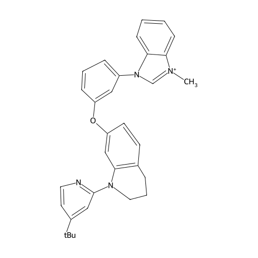 C[n+]1cn(-c2cccc(Oc3ccc4c(c3)N(c3cc(C(C)(C)C)ccn3)CCC4)c2)c2ccccc21